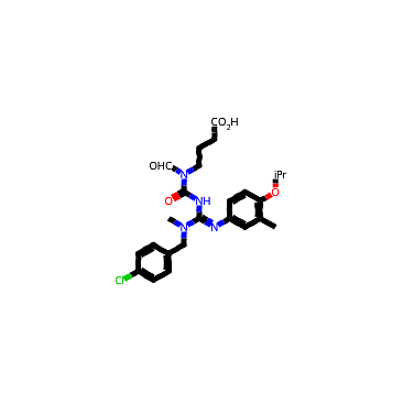 Cc1cc(/N=C(\NC(=O)N(C=O)CCCC(=O)O)N(C)Cc2ccc(Cl)cc2)ccc1OC(C)C